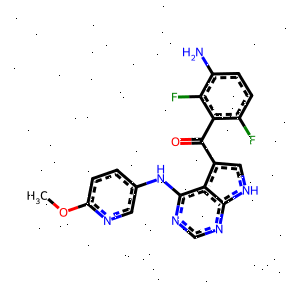 COc1ccc(Nc2ncnc3[nH]cc(C(=O)c4c(F)ccc(N)c4F)c23)cn1